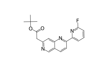 CC(C)(C)OC(=O)Cc1cc2nc(-c3cccc(F)n3)ccc2cn1